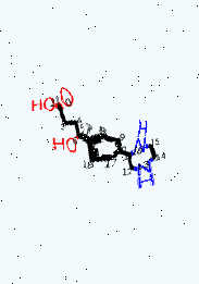 O=C(O)CCC(O)c1ccc(C2CNCCN2)cc1